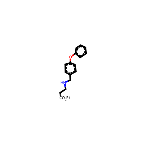 CCOC(=O)CCNCc1ccc(Oc2ccccc2)cc1